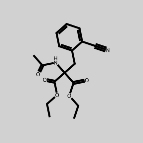 CCOC(=O)C(Cc1ccccc1C#N)(NC(C)=O)C(=O)OCC